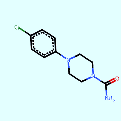 NC(=O)N1CCN(c2ccc(Cl)cc2)CC1